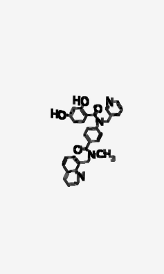 CN(Cc1cccc2cccnc12)C(=O)c1ccc(N(Cc2cccnc2)C(=O)c2ccc(O)cc2O)cc1